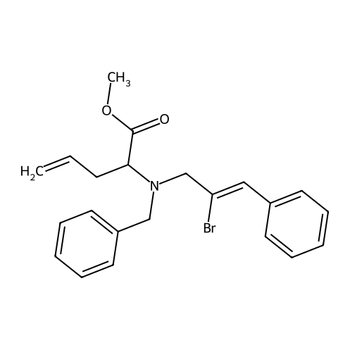 C=CCC(C(=O)OC)N(CC(Br)=Cc1ccccc1)Cc1ccccc1